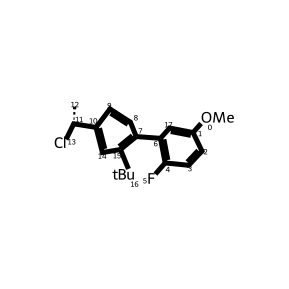 COc1ccc(F)c(-c2ccc([C@@H](C)Cl)cc2C(C)(C)C)c1